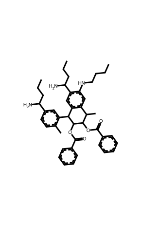 CCCCNc1cc2c(cc1C(N)CCC)C(c1cc(C(N)CCC)ccc1C)C(OC(=O)c1ccccc1)C(OC(=O)c1ccccc1)C2C